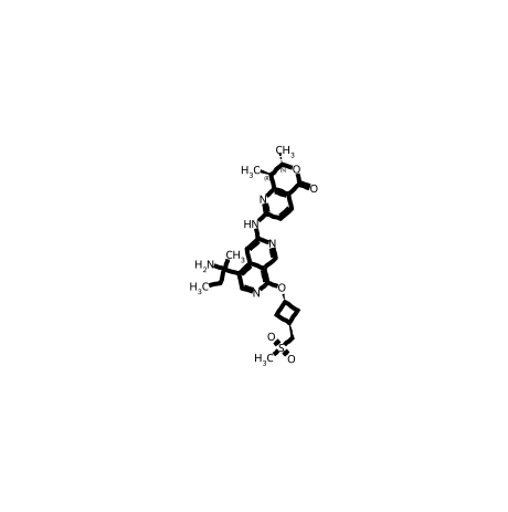 CCC(C)(N)c1cnc(O[C@H]2C[C@H](CS(C)(=O)=O)C2)c2cnc(Nc3ccc4c(n3)[C@@H](C)[C@H](C)OC4=O)cc12